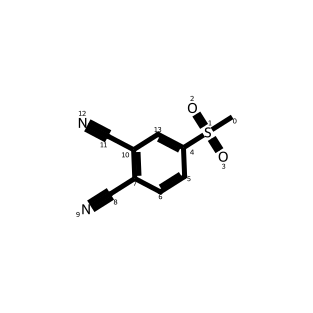 CS(=O)(=O)c1ccc(C#N)c(C#N)c1